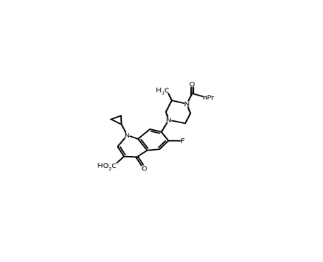 CCCC(=O)N1CCN(c2cc3c(cc2F)c(=O)c(C(=O)O)cn3C2CC2)CC1C